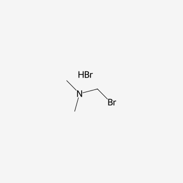 Br.CN(C)CBr